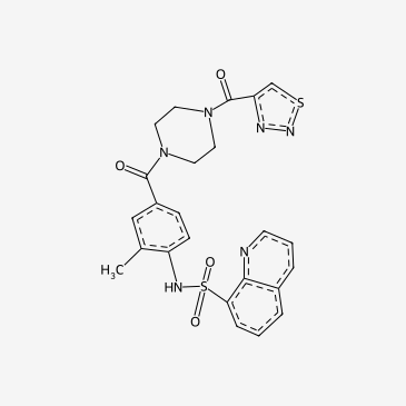 Cc1cc(C(=O)N2CCN(C(=O)c3csnn3)CC2)ccc1NS(=O)(=O)c1cccc2cccnc12